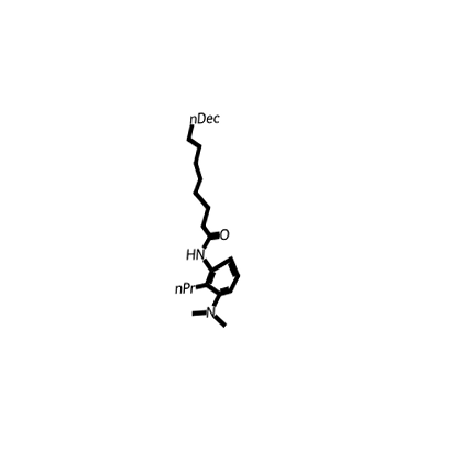 CCCCCCCCCCCCCCCCCC(=O)Nc1cccc(N(C)C)c1CCC